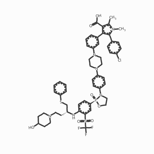 Cc1c(C(=O)O)c(-c2cccc(N3CCN(c4ccc(N5CCO[P@@]5(=O)c5ccc(N[C@H](CCN6CCC(O)CC6)CSc6ccccc6)c(S(=O)(=O)C(F)(F)F)c5)cc4)CC3)c2)c(-c2ccc(Cl)cc2)n1C